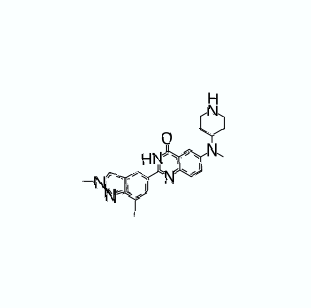 Cc1cc(-c2nc3ccc(N(C)C4CCNCC4)cc3c(=O)[nH]2)cc2cn(C)nc12